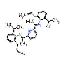 C=CCc1cccc(C(C)C)c1/N=C(\C)c1cccc(/C(C)=N/c2c(CC=C)cccc2C(C)C)n1